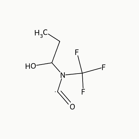 CCC(O)N([C]=O)C(F)(F)F